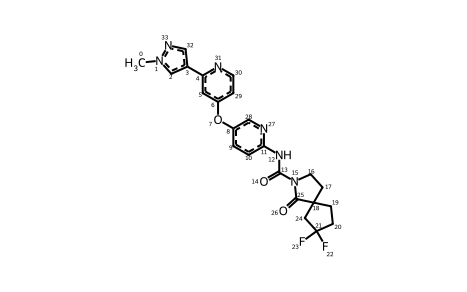 Cn1cc(-c2cc(Oc3ccc(NC(=O)N4CCC5(CCC(F)(F)C5)C4=O)nc3)ccn2)cn1